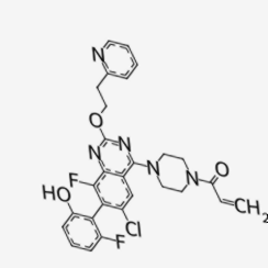 C=CC(=O)N1CCN(c2nc(OCCc3ccccn3)nc3c(F)c(-c4c(O)cccc4F)c(Cl)cc23)CC1